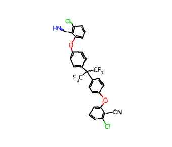 N#Cc1c(Cl)cccc1Oc1ccc(C(c2ccc(Oc3cccc(Cl)c3C=N)cc2)(C(F)(F)F)C(F)(F)F)cc1